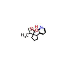 CC(C)C1(C(=O)O)CCCC1c1cccnc1